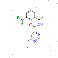 Cc1cc(C(=O)NC(C)c2cccc(C(F)F)c2)ncn1